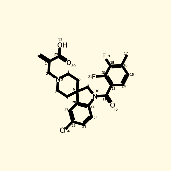 C=C(CN1CCC2(CC1)CN(C(=O)c1ccc(C)c(F)c1F)c1ccc(Cl)cc12)C(=O)O